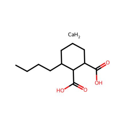 CCCCC1CCCC(C(=O)O)C1C(=O)O.[CaH2]